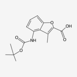 Cc1c(C(=O)O)oc2cccc(NC(=O)OC(C)(C)C)c12